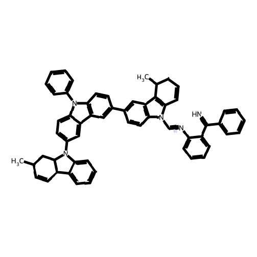 CC1C=CC2c3ccccc3N(c3ccc4c(c3)c3cc(-c5ccc6c(c5)c5c(n6/C=N/c6ccccc6C(=N)c6ccccc6)C=CCC5C)ccc3n4-c3ccccc3)C2C1